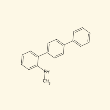 CPc1ccccc1-c1ccc(-c2ccccc2)cc1